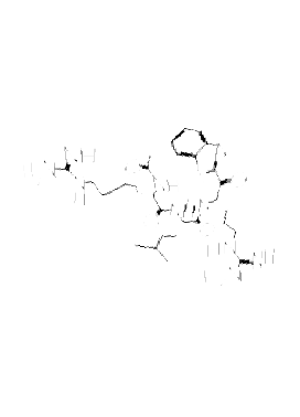 CC(=O)N[C@@H](CCCCNC(=N)N)C(=O)N[C@@H](CCC(C)C)C(=O)N[C@@H](CCCNC(=N)N)C(=O)c1nc2ccccc2s1